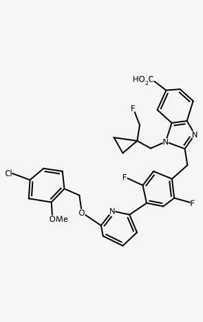 COc1cc(Cl)ccc1COc1cccc(-c2cc(F)c(Cc3nc4ccc(C(=O)O)cc4n3CC3(CF)CC3)cc2F)n1